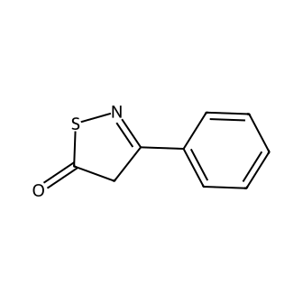 O=C1CC(c2ccccc2)=NS1